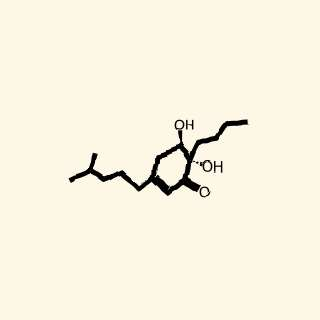 CCCC[C@@]1(O)C(=O)C=C(CCCC(C)C)C[C@H]1O